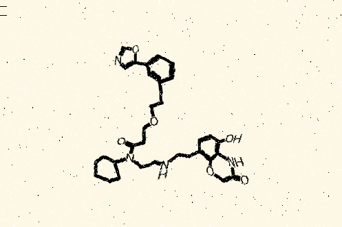 O=C1COc2c(CCNCCN(C(=O)CCOCCc3cccc(-c4cnco4)c3)C3CCCCC3)ccc(O)c2N1